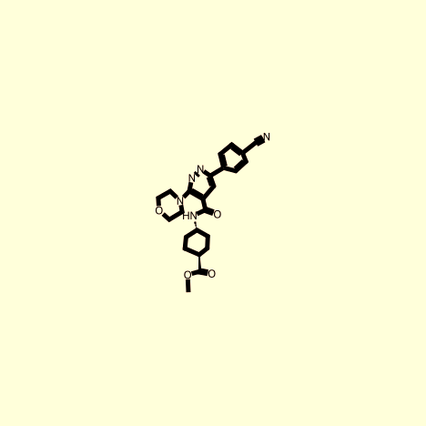 COC(=O)[C@H]1CC[C@H](NC(=O)c2cc(-c3ccc(C#N)cc3)nnc2N2CCOCC2)CC1